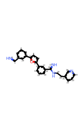 N=Cc1cccc(-c2ccc(-c3cccc(C(=N)NCCc4cccnc4)c3)o2)c1